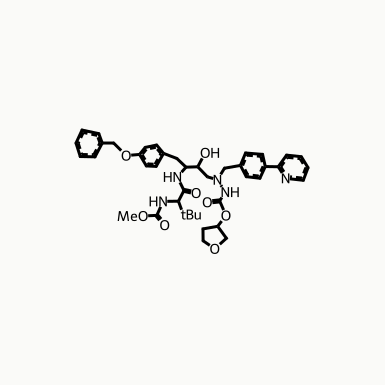 COC(=O)NC(C(=O)NC(Cc1ccc(OCc2ccccc2)cc1)C(O)CN(Cc1ccc(-c2ccccn2)cc1)NC(=O)OC1CCOC1)C(C)(C)C